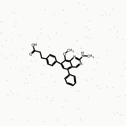 CNc1ncc2c(-c3ccccc3)cc(-c3ccc(CCC(=O)O)cc3)c(OC)c2n1